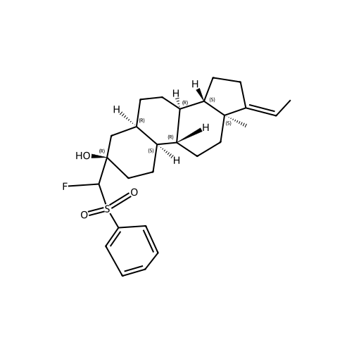 CC=C1CC[C@H]2[C@@H]3CC[C@@H]4C[C@@](O)(C(F)S(=O)(=O)c5ccccc5)CC[C@@H]4[C@H]3CC[C@]12C